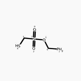 O=S(=O)(CS)OCP